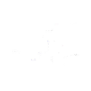 C=CCOC1(C)CCN(c2c(C(=O)C(=O)OC)c(C)cc3nc(C(=O)OCC)cn23)CC1